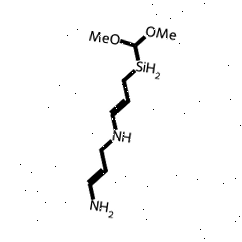 COC(OC)[SiH2]CC=CNCC=CN